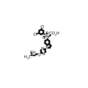 CN(C)CCOc1cnc(-n2ccc3cc(N(CC(=O)O)S(=O)(=O)c4cc(Cl)cc(Cl)c4)ccc32)cn1